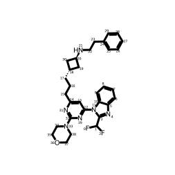 FC(F)c1nc2ccccc2n1-c1cc(CCC[C@H]2C[C@H](NCCc3ccccc3)C2)nc(N2CCOCC2)n1